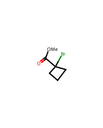 COC(=O)C1(Br)CCC1